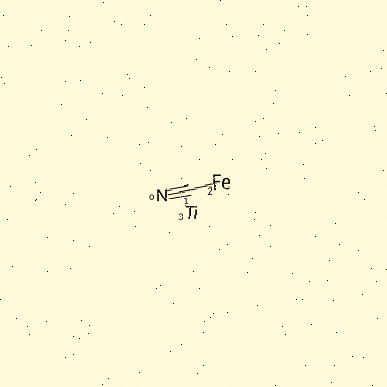 N#[C][Fe].[Ti]